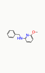 COc1cccc(NCc2ccccc2)n1